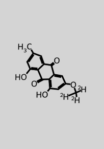 [2H]C([2H])([2H])Oc1cc(O)c2c(c1)C(=O)c1cc(C)cc(O)c1C2=O